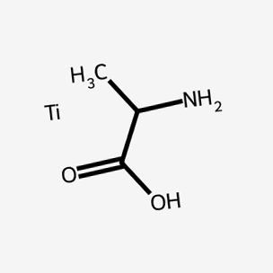 CC(N)C(=O)O.[Ti]